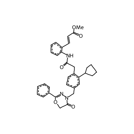 COC(=O)/C=C/c1ccccc1NC(=O)Cc1ccc(CN2N=C(c3ccccc3)OCC2=O)cc1C1CCCC1